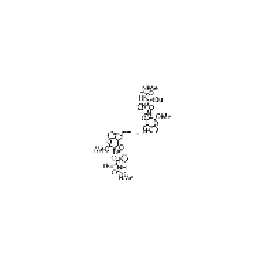 CN[C@@H](C)C(=O)N[C@H](C(=O)N1CCC[C@H]1c1nc(C(=O)OC)c(-c2cn(CC#CC#CCn3cc(-c4oc([C@@H]5CCCN5C(=O)[C@@H](NC(=O)[C@H](C)NC)C(C)(C)C)nc4C(=O)OC)c4ccccc43)c3ccccc23)o1)C(C)(C)C